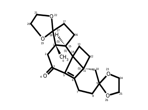 C[C@]12CC(=O)C3=C4CCC5(C[C@]46CCC36[C@@H]1CCC21OCCO1)OCCO5